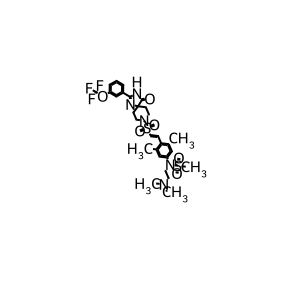 Cc1cc(N(CCN(C)C)S(C)(=O)=O)cc(C)c1/C=C/S(=O)(=O)N1CCC2(CC1)N=C(c1cccc(OC(F)(F)F)c1)NC2=O